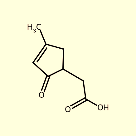 CC1=CC(=O)C(CC(=O)O)C1